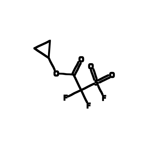 O=C(OC1CC1)C(F)(F)S(=O)(=O)F